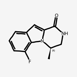 C[C@@H]1CNC(=O)c2cc3cccc(F)c3n21